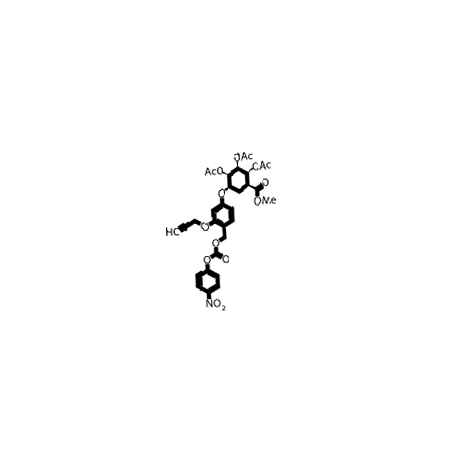 C#CCOc1cc(O[C@@H]2C[C@H](C(=O)OC)[C@@H](OC(C)=O)[C@H](OC(C)=O)[C@H]2OC(C)=O)ccc1COC(=O)Oc1ccc([N+](=O)[O-])cc1